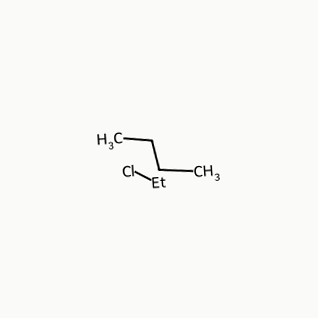 CCCC.CCCl